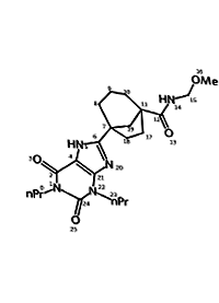 CCCn1c(=O)c2[nH]c(C34CCCC(C(=O)NCOC)(CC3)C4)nc2n(CCC)c1=O